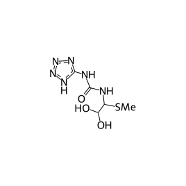 CSC(NC(=O)Nc1nnn[nH]1)C(O)O